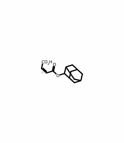 O=C(O)/C=C\C(=O)OC1C2CC3CC(C2)CC1C3